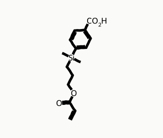 C=CC(=O)OCCC[Si](C)(C)c1ccc(C(=O)O)cc1